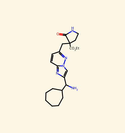 CCOC(=O)C1(Cc2ccc3nc(C(N)C4CCCCCC4)cn3n2)CCNC1=O